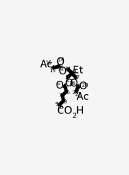 CCC(COC(=O)CCCCC(=O)O)(COC(=O)CC(C)=O)COC(=O)CC(C)=O